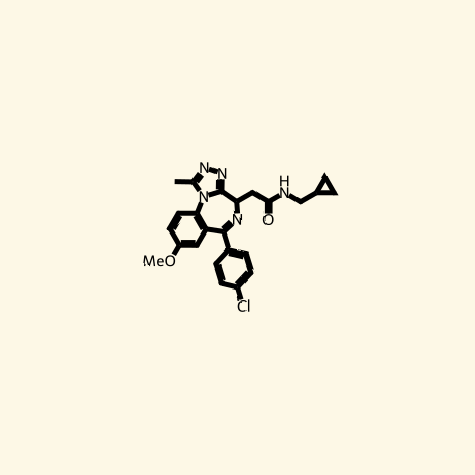 COc1ccc2c(c1)C(c1ccc(Cl)cc1)=NC(CC(=O)NCC1CC1)c1nnc(C)n1-2